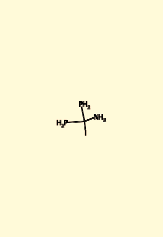 NC(P)(P)I